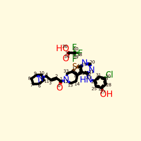 O=C(C=CCN1C2CCC1CC2)N1CCc2c(sc3ncnc(Nc4cc(O)cc(Cl)c4)c23)C1.O=C(O)C(F)(F)F